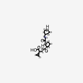 O=C(O)C(CNC(=O)[C@@H]1CCCN(C(=O)/C=C/C2CCNCC2)C1)C1CC1